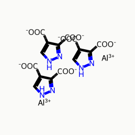 O=C([O-])c1c[nH]nc1C(=O)[O-].O=C([O-])c1c[nH]nc1C(=O)[O-].O=C([O-])c1c[nH]nc1C(=O)[O-].[Al+3].[Al+3]